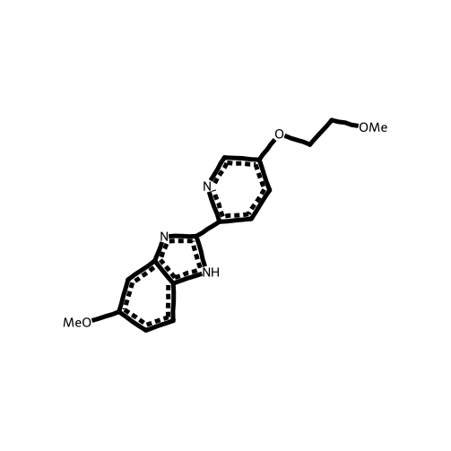 COCCOc1ccc(-c2nc3cc(OC)ccc3[nH]2)nc1